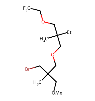 CCC(C)(COCC(F)(F)F)COCC(C)(CBr)COC